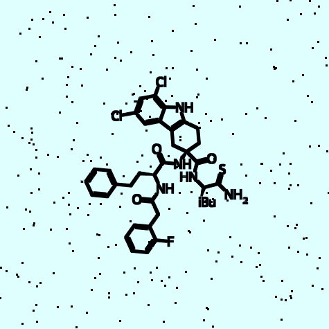 CC[C@H](C)C(NC(=O)[C@@]1(NC(=O)[C@H](CCc2cc[c]cc2)NC(=O)Cc2ccccc2F)CCc2[nH]c3c(Cl)cc(Cl)cc3c2C1)C(N)=S